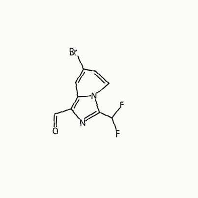 O=Cc1nc(C(F)F)n2ccc(Br)cc12